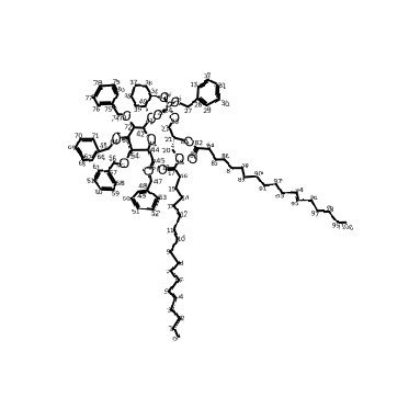 CCCCCCCCCCCCCCCCCC(=O)OC[C@H](COP(=O)(OCc1ccccc1)O[C@@H]1CCCC[C@H]1OC1OC(COCc2ccccc2)C(OCc2ccccc2)C(OCc2ccccc2)C1OCc1ccccc1)OC(=O)CCCCCCCCCCCCCCCCC